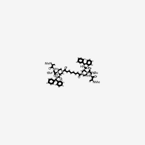 CN[C@@H](C)C(=O)N[C@H](C(=O)N1CCN(C(=O)CCCCCCC(=O)N2CCN(C(=O)[C@@H](NC(=O)[C@H](C)NC)C(C)(C)C)[C@H](C(=O)NC(c3ccccc3)c3ccccc3)C2)C[C@H]1C(=O)NC(c1ccccc1)c1ccccc1)C(C)(C)C